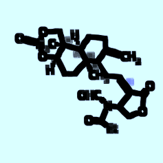 C=C1CC[C@@H]2[C@]3(C)COS(=O)O[C@@H]3CC[C@@]2(C)[C@@H]1C/C=C1/C(=O)OCC1N(C=O)C(=O)CC